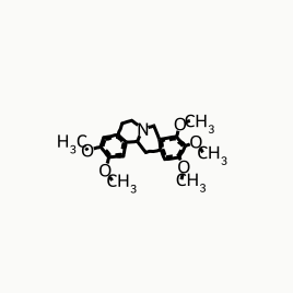 COc1cc2c(cc1OC)C1Cc3cc(OC)c(OC)c(OC)c3CN1CC2